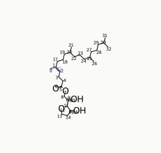 C/C(=C\CCC(=O)OC[C@@H](O)C1OCC[C@H]1O)CCCC(C)CCCC(C)CCCC(C)C